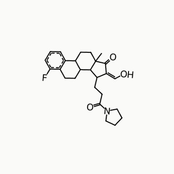 CC12CCC3c4cccc(F)c4CCC3C1C(CCC(=O)N1CCCC1)/C(=C/O)C2=O